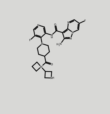 Nc1nn2cc(F)cnc2c1C(=O)Nc1cncc(F)c1N1CCC(C(=O)[N+]2(C3CNC3)CCC2)CC1